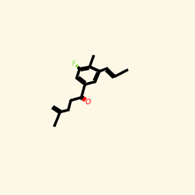 C=C(C)CCC(=O)c1cc(F)c(C)c(/C=C/C)c1